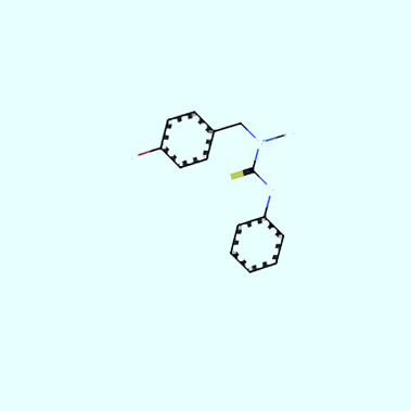 CC(C)N(Cc1ccc(Br)cc1)C(=S)Nc1ccccc1